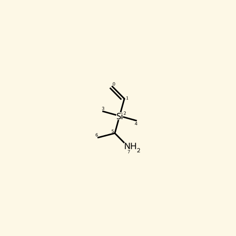 C=C[Si](C)(C)C(C)N